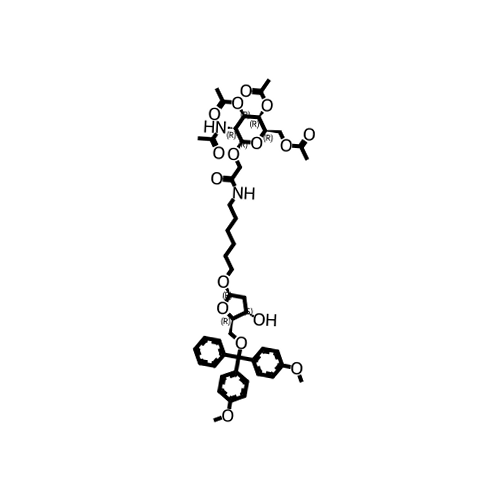 COc1ccc(C(OC[C@H]2O[C@@H](OCCCCCCNC(=O)CO[C@@H]3O[C@H](COC(C)=O)[C@H](OC(C)=O)[C@H](OC(C)=O)[C@H]3NC(C)=O)C[C@@H]2O)(c2ccccc2)c2ccc(OC)cc2)cc1